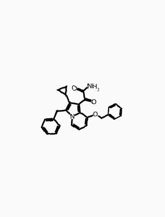 NC(=O)C(=O)c1c(C2CC2)c(Cc2ccccc2)n2cccc(OCc3ccccc3)c12